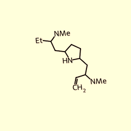 C=CC(CC1CCC(CC(CC)NC)N1)NC